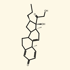 CCC[C@@H]1CC2C3CCC4=CC(=O)C=C[C@]4(C)C3=CC[C@]2(C)[C@@]1(O)C(=O)CO